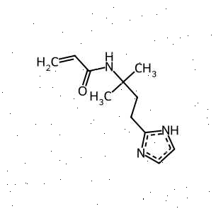 C=CC(=O)NC(C)(C)CCc1ncc[nH]1